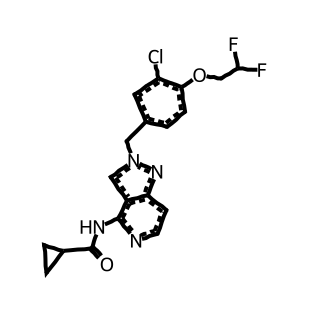 O=C(Nc1nccc2nn(Cc3ccc(OCC(F)F)c(Cl)c3)cc12)C1CC1